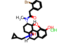 CN(C(=O)Cc1ccccc1Br)[C@H]1CC[C@@]2(O)[C@H]3Cc4ccc(O)c5c4[C@@]2(CCN3CC2CC2)[C@H]1O5.Cl